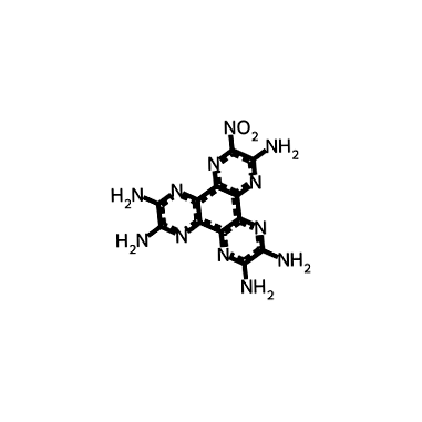 Nc1nc2c3nc(N)c(N)nc3c3nc([N+](=O)[O-])c(N)nc3c2nc1N